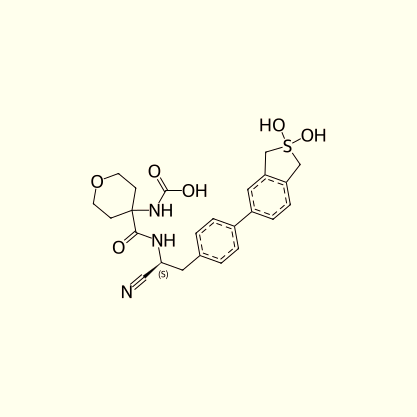 N#C[C@H](Cc1ccc(-c2ccc3c(c2)CS(O)(O)C3)cc1)NC(=O)C1(NC(=O)O)CCOCC1